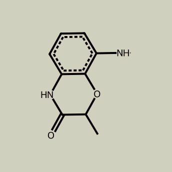 CC1Oc2c([NH])cccc2NC1=O